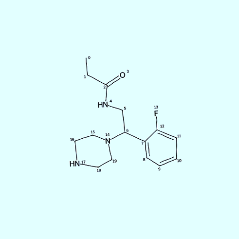 CCC(=O)NCC(c1ccccc1F)N1CCNCC1